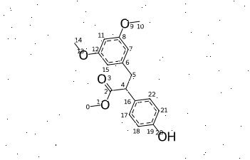 COC(=O)C(Cc1cc(OC)cc(OC)c1)c1ccc(O)cc1